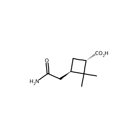 CC1(C)[C@@H](CC(N)=O)C[C@@H]1C(=O)O